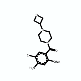 COc1cc(N)c(Cl)cc1C(=O)N1CCN(C2COC2)CC1